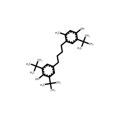 Cc1cc(O)c(C(C)(C)C)cc1CCCCc1cc(C(C)(C)C)c(O)c(C(C)(C)C)c1